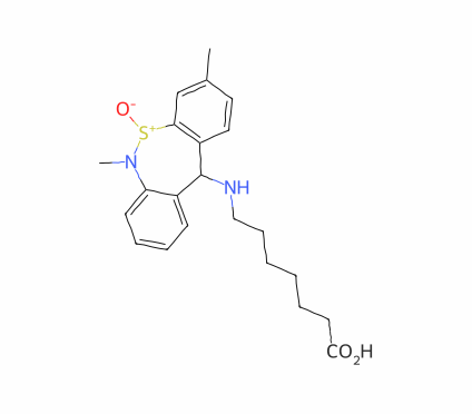 Cc1ccc2c(c1)[S+]([O-])N(C)c1ccccc1C2NCCCCCCC(=O)O